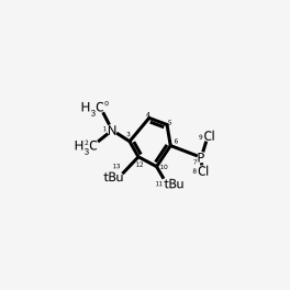 CN(C)c1ccc(P(Cl)Cl)c(C(C)(C)C)c1C(C)(C)C